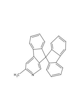 Cc1cc2c(cn1)C1(c3ccccc3-c3ccccc31)c1ccccc1-2